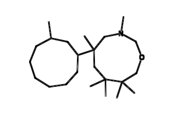 CC1CCCCCCC(C2(C)CN(C)COCC(C)(C)C(C)(C)C2)C1